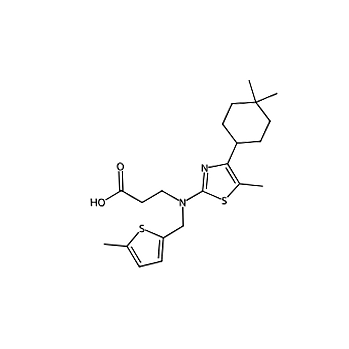 Cc1ccc(CN(CCC(=O)O)c2nc(C3CCC(C)(C)CC3)c(C)s2)s1